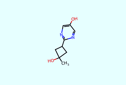 CC1(O)CC(c2ncc(O)cn2)C1